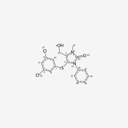 Cn1c(CO)c(Sc2cc(Cl)cc(Cl)c2)n(-c2ccccc2)c1=O